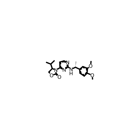 COc1ccc([C@@H](C)Nc2nccc(N3C(=O)OCC3C(C)C)n2)cc1OC